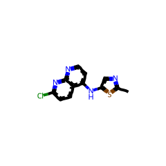 Cc1ncc(Nc2ccnc3nc(Cl)ccc23)s1